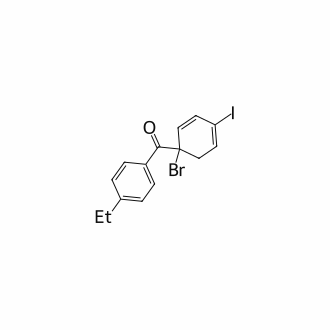 CCc1ccc(C(=O)C2(Br)C=CC(I)=CC2)cc1